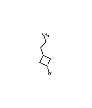 CCCC1C[S+]([O-])C1